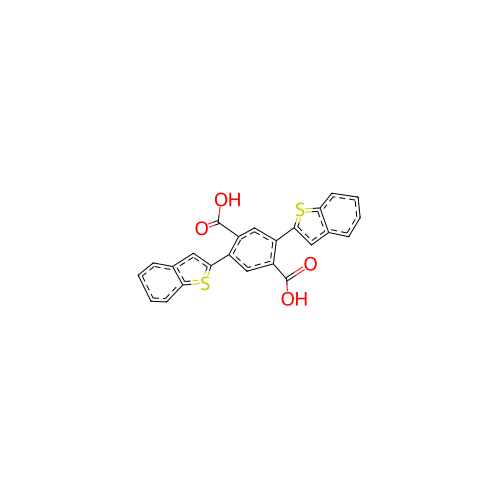 O=C(O)c1cc(-c2cc3ccccc3s2)c(C(=O)O)cc1-c1cc2ccccc2s1